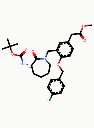 COC(=O)Cc1ccc(OCc2ccc(Cl)cc2)c(CN2CCCC[C@H](NC(=O)OC(C)(C)C)C2=O)c1